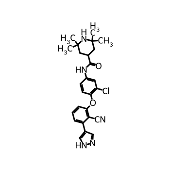 CC1(C)CC(C(=O)Nc2ccc(Oc3cccc(-c4cn[nH]c4)c3C#N)c(Cl)c2)CC(C)(C)N1